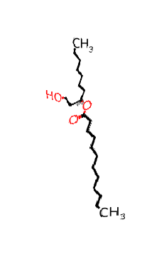 CCCCCCCCCCCC(=O)O[C@@H](CCO)CCCCCCC